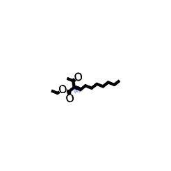 CCCCCCC/C=C(\C(C)=O)C(=O)OCC